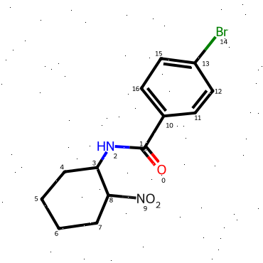 O=C(NC1CCCCC1[N+](=O)[O-])c1ccc(Br)cc1